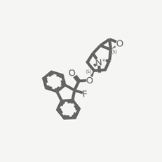 C[N+]1(C)C2C[C@H](OC(=O)C3(F)c4ccccc4-c4ccccc43)CC1[C@]13OC1C23